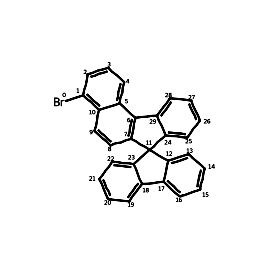 Brc1cccc2c3c(ccc12)C1(c2ccccc2-c2ccccc21)c1ccccc1-3